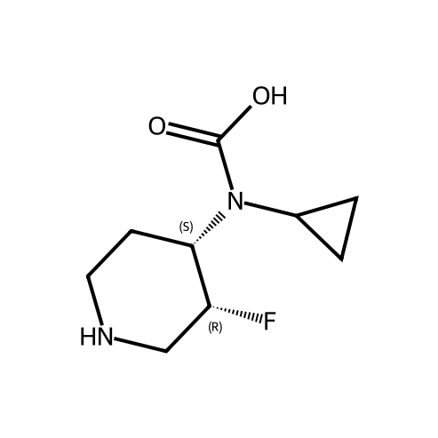 O=C(O)N(C1CC1)[C@H]1CCNC[C@H]1F